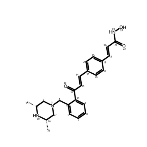 C[C@@H]1CN(Cc2ccccc2C(=O)/C=C/c2ccc(/C=C/C(=O)NO)cc2)C[C@H](C)N1